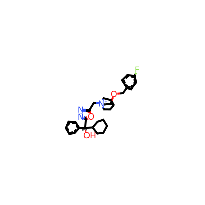 O[C@](c1ccccc1)(c1nnc(C[N+]23CCC(CC2)C(OCc2ccc(F)cc2)C3)o1)C1CCCCC1